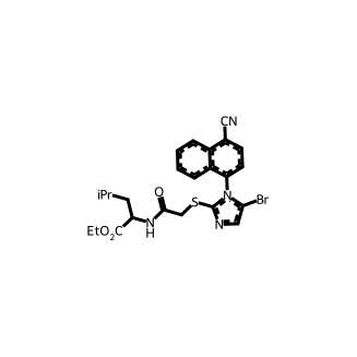 CCOC(=O)C(CC(C)C)NC(=O)CSc1ncc(Br)n1-c1ccc(C#N)c2ccccc12